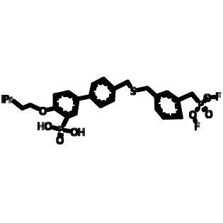 CC(C)CCOc1ccc(-c2ccc(CSCc3cccc(CP(=O)(OF)OF)c3)cc2)cc1P(=O)(O)O